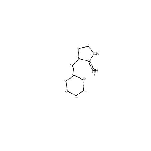 N=C1NCCN1CC1CCCCC1